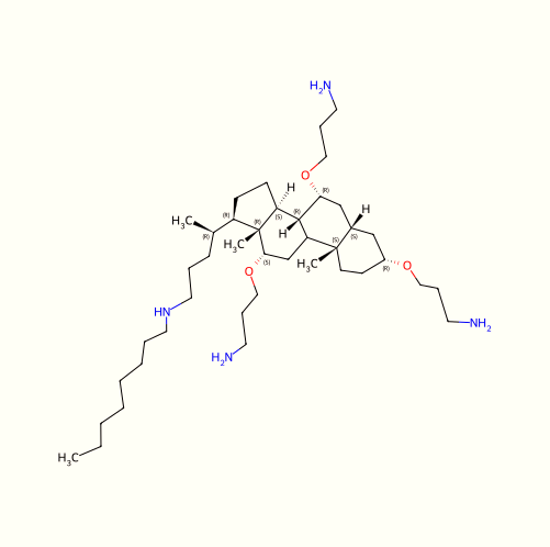 CCCCCCCCNCCC[C@@H](C)[C@H]1CC[C@H]2[C@H]3C(C[C@H](OCCCN)[C@]12C)[C@@]1(C)CC[C@@H](OCCCN)C[C@H]1C[C@H]3OCCCN